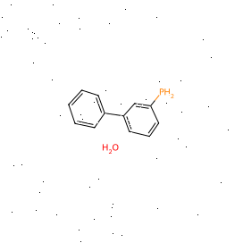 O.Pc1cccc(-c2ccccc2)c1